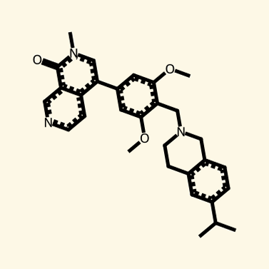 COc1cc(-c2cn(C)c(=O)c3cnccc23)cc(OC)c1CN1CCc2cc(C(C)C)ccc2C1